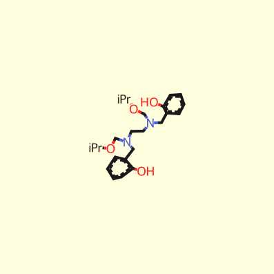 CC(C)OCN(CCN(COC(C)C)Cc1ccccc1O)Cc1ccccc1O